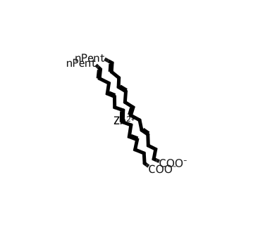 CCCCCC=CCC=CCC=CCC=CCCCC(=O)[O-].CCCCCC=CCC=CCC=CCC=CCCCC(=O)[O-].[Zn+2]